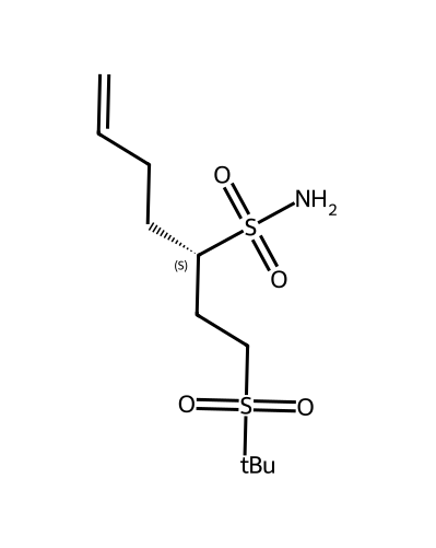 C=CCC[C@@H](CCS(=O)(=O)C(C)(C)C)S(N)(=O)=O